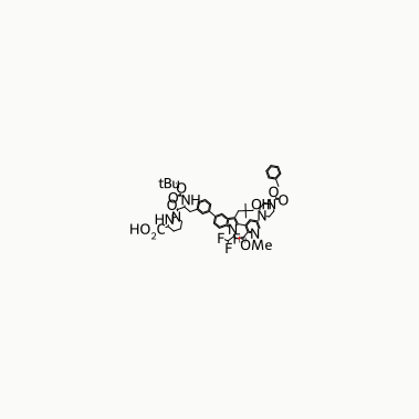 CO[C@@H](C)c1ncc(N2CCN(C(=O)OCc3ccccc3)CC2)cc1-c1c(CC(C)(C)CO)c2cc(-c3cccc(CC(NC(=O)OC(C)(C)C)C(=O)N4CCCC(C(=O)O)N4)c3)ccc2n1C(F)C(F)F